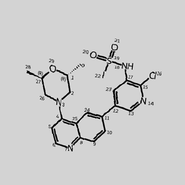 C[C@@H]1CN(c2ccnc3ccc(-c4cnc(Cl)c(NS(=O)(=O)I)c4)cc23)C[C@@H](C)O1